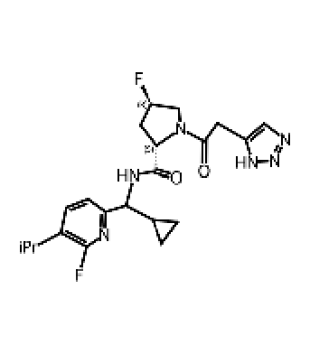 CC(C)c1ccc(C(NC(=O)[C@@H]2C[C@@H](F)CN2C(=O)Cc2cnn[nH]2)C2CC2)nc1F